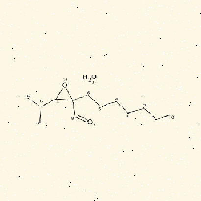 CCCCCCCC1(C=O)OC1C(C)C.O